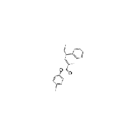 CCC(C=C(C)C(=O)Oc1ccc(C)cc1)c1ccccc1